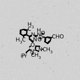 Cc1cccc(C)c1-c1cc(OC[C@@H](CC(C)C)N(C)[C@H]2CCN(C)C2)nc(NS(=O)(=O)c2cccc(C=O)c2)n1